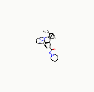 C=CCN1CCC2CCC(C1)N2Cc1ccc(C(=O)NN2CCCCCC2)cc1-c1cccc(OC)c1